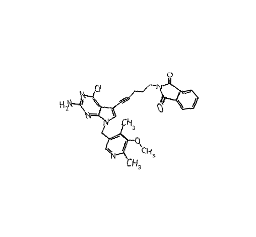 COc1c(C)ncc(Cn2cc(C#CCCCN3C(=O)c4ccccc4C3=O)c3c(Cl)nc(N)nc32)c1C